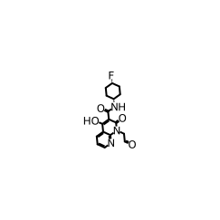 O=CCn1c(=O)c(C(=O)N[C@H]2CC[C@@H](F)CC2)c(O)c2cccnc21